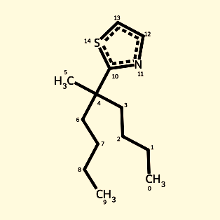 CCCCC(C)(CCCC)c1nccs1